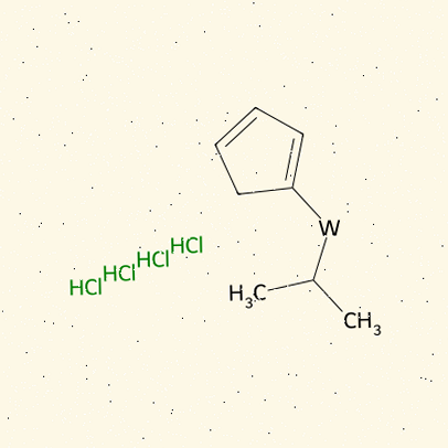 C[CH](C)[W][C]1=CC=CC1.Cl.Cl.Cl.Cl